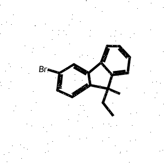 CCC1(C)c2ccccc2-c2cc(Br)ccc21